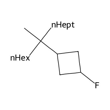 CCCCCCCC(C)(CCCCCC)C1CC(F)C1